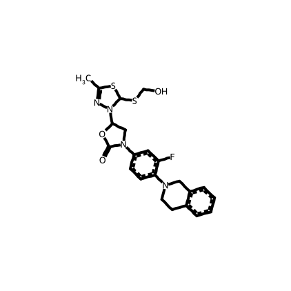 CC1=NN(C2CN(c3ccc(N4CCc5ccccc5C4)c(F)c3)C(=O)O2)C(SCO)S1